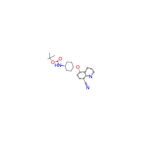 CC(C)(C)OC(=O)N[C@H]1CC[C@H](Oc2ccc(C#N)c3ncccc23)CC1